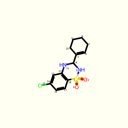 O=S1(=O)NC(C2=CCCCC2)Nc2cc(Cl)ccc21